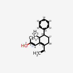 C=CC1=C(/C=C(\C)O)C(C)C(c2ccccc2)CC1